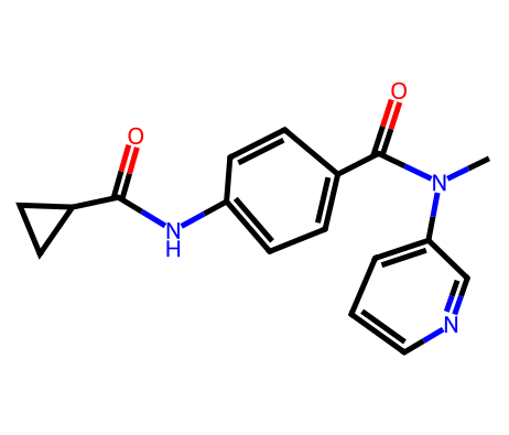 CN(C(=O)c1ccc(NC(=O)C2CC2)cc1)c1cccnc1